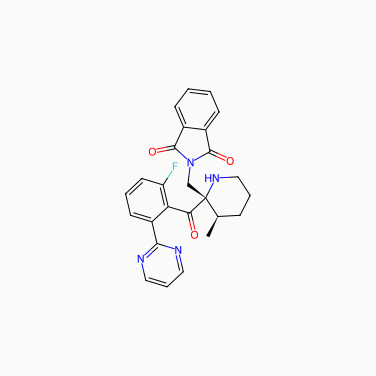 C[C@@H]1CCCN[C@@]1(CN1C(=O)c2ccccc2C1=O)C(=O)c1c(F)cccc1-c1ncccn1